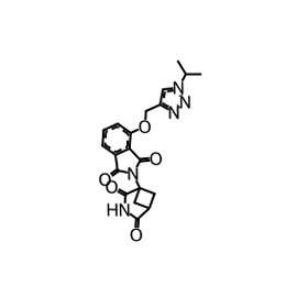 CC(C)n1cc(COc2cccc3c2C(=O)N(C24CC(C2)C(=O)NC4=O)C3=O)nn1